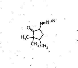 CC1CC(N=[N+]=[N-])C(=O)C1(C)C